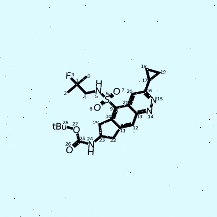 CC(C)(F)CNS(=O)(=O)c1c2c(cc3nnc(C4CC4)cc13)CC(NC(=O)OC(C)(C)C)C2